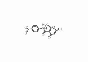 Cc1cc(=O)c(C(=O)Nc2ccc([N+](=O)[O-])cc2)c(C)o1